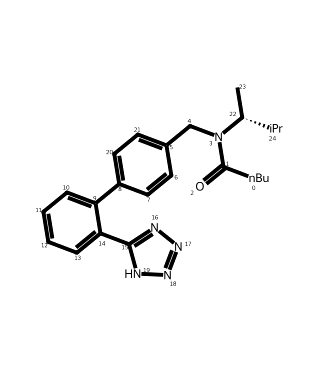 CCCCC(=O)N(Cc1ccc(-c2ccccc2-c2nnn[nH]2)cc1)[C@H](C)C(C)C